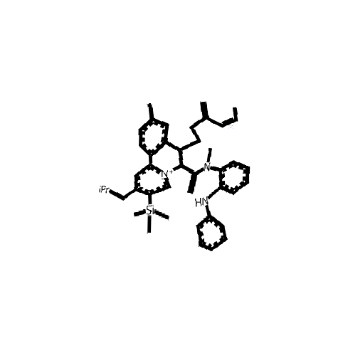 C=C(/C=C\C)CCC1c2cc(C)ccc2-c2cc(CC(C)C)c([Si](C)(C)C)c[n+]2C1C(=C)N(C)c1ccccc1Nc1ccccc1